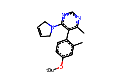 Cc1cc(OC(C)(C)C)ccc1-c1c(C)ncnc1N1CC=CC1